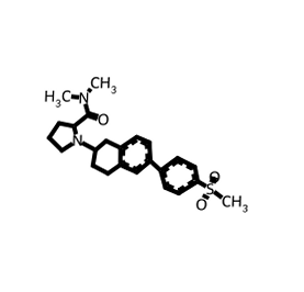 CN(C)C(=O)C1CCCN1C1CCc2cc(-c3ccc(S(C)(=O)=O)cc3)ccc2C1